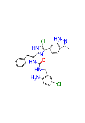 Cc1n[nH]c2cc(-c3nc([C@H](Cc4ccccc4)NC(=O)NCc4cc(Cl)ccc4N)[nH]c3Cl)ccc12